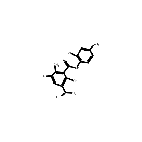 Cc1ccc(NC(=O)c2c(C)c(Br)cc(C(C)C)c2O)c(Cl)c1